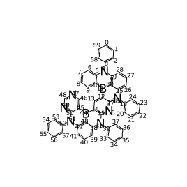 c1ccc(N2c3ccccc3B3c4cc5c(nc4N(c4ccccc4)c4cccc2c43)N(c2ccccc2)c2cccc3c2B5c2cncnc2N3c2ccccc2)cc1